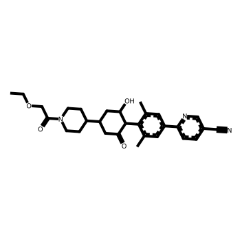 CCOCC(=O)N1CCC(C2CC(=O)C(c3c(C)cc(-c4ccc(C#N)cn4)cc3C)C(O)C2)CC1